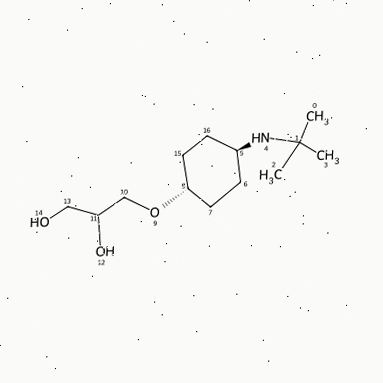 CC(C)(C)N[C@H]1CC[C@H](OCC(O)CO)CC1